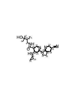 CC(C)(O)C(F)CNC(=O)c1cnc(N2CCc3cc(C#N)cnc32)cc1NC1CC1